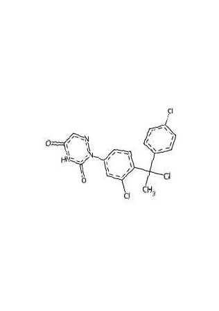 CC(Cl)(c1ccc(Cl)cc1)c1ccc(-n2ncc(=O)[nH]c2=O)cc1Cl